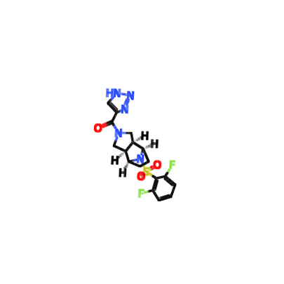 O=C(c1c[nH]nn1)N1C[C@@H]2[C@H](C1)[C@@H]1CC[C@H]2N1S(=O)(=O)c1c(F)cccc1F